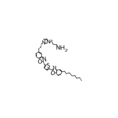 CCCCCCCCc1ccc2oc(-c3ccc(-c4nc5cc(CCCn6cc[n+](CCCN)c6)ccc5o4)s3)nc2c1